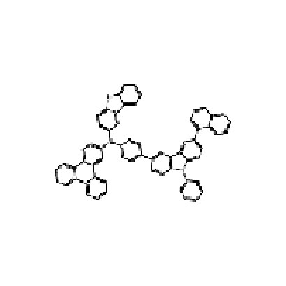 c1ccc(-n2c3ccc(-c4ccc(N(c5ccc6sc7ccccc7c6c5)c5ccc6c7ccccc7c7ccccc7c6c5)cc4)cc3c3cc(-c4cccc5ccccc45)ccc32)cc1